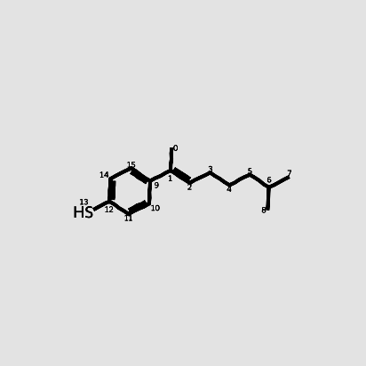 C/C(=C\CCCC(C)C)c1ccc(S)cc1